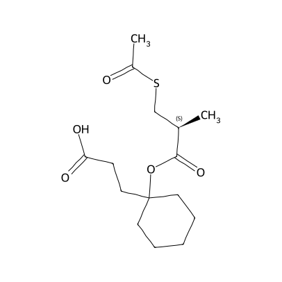 CC(=O)SC[C@@H](C)C(=O)OC1(CCC(=O)O)CCCCC1